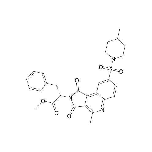 COC(=O)[C@H](Cc1ccccc1)N1C(=O)c2c(C)nc3ccc(S(=O)(=O)N4CCC(C)CC4)cc3c2C1=O